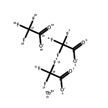 O=C([O-])C(F)(F)F.O=C([O-])C(F)(F)F.O=C([O-])C(F)(F)F.[Tb+3]